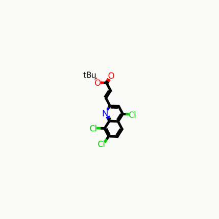 CC(C)(C)OC(=O)C=Cc1cc(Cl)c2ccc(Cl)c(Cl)c2n1